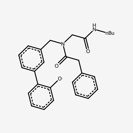 CCCCNC(=O)CN(Cc1cccc(-c2ccccc2[O])c1)C(=O)Cc1ccccc1